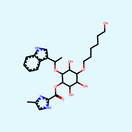 Cc1c[nH]c(C(=O)OC2C(O)C(O)C(OCCCCCCO)C(O)C2OC(C)c2c[nH]c3ccccc23)n1